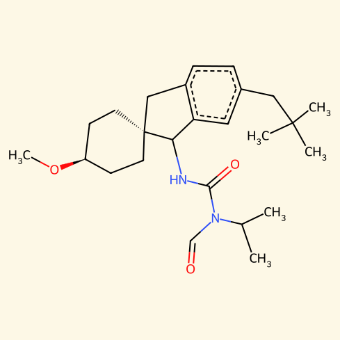 CO[C@H]1CC[C@]2(CC1)Cc1ccc(CC(C)(C)C)cc1C2NC(=O)N(C=O)C(C)C